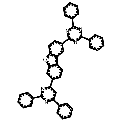 c1ccc(-c2cc(-c3ccc4c(c3)oc3ccc(-c5nc(-c6ccccc6)nc(-c6ccccc6)n5)cc34)nc(-c3ccccc3)n2)cc1